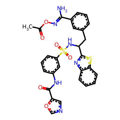 CC(=O)ON=C(N)c1cccc(CC(NS(=O)(=O)c2cccc(NC(=O)c3cnco3)c2)c2nc3ccccc3s2)c1